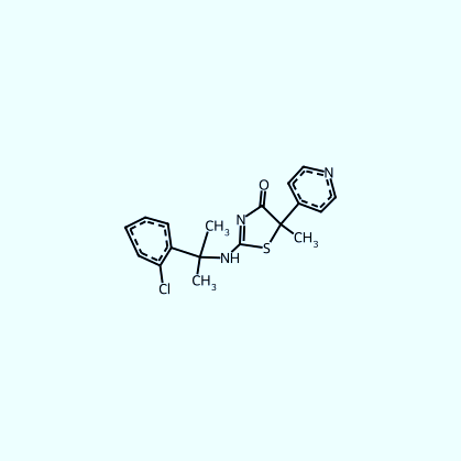 CC(C)(NC1=NC(=O)C(C)(c2ccncc2)S1)c1ccccc1Cl